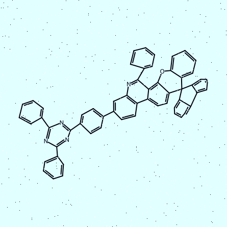 c1ccc(-c2nc(-c3ccccc3)nc(-c3ccc(-c4ccc5c(c4)nc(-c4ccccc4)c4c6c(ccc45)C4(c5ccccc5O6)c5ccccc5-c5ccccc54)cc3)n2)cc1